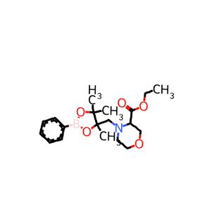 CCOC(=O)C1COCCN1CC1(C)OB(c2ccccc2)OC1(C)C